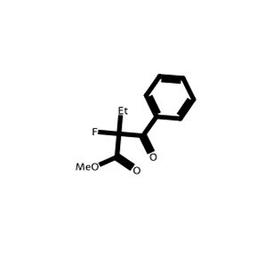 CCC(F)(C(=O)OC)C(=O)c1ccccc1